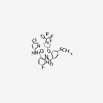 CSc1ccc(C(=O)Nc2cc(F)ccc2C(=O)Nc2ccc(Cl)cn2)c(OC2CCN(C(=O)C(F)(F)F)CC2)c1